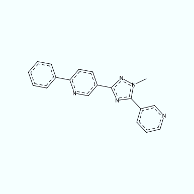 Cn1nc(-c2ccc(-c3ccccc3)nc2)nc1-c1cccnc1